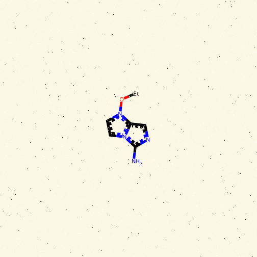 CCOn1ccn2c(N)ncc12